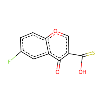 O=c1c(C(O)=S)coc2ccc(F)cc12